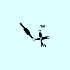 CC#COS(=O)(=O)CCC.[NaH]